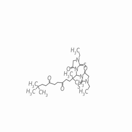 CCN1CC(=O)N(C(N2C(=O)CN(CC)C2=S)C(C)(C)CCC(=O)CCC(=O)CCC(C)(C)C)C1=S